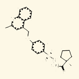 Cc1cc(COc2ccc(S(=O)(=O)N(O)[C@@H]3CCC[C@]3(C)C(N)=O)cc2)c2ccccc2n1